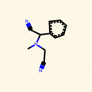 CN(CC#N)C(C#N)c1ccccc1